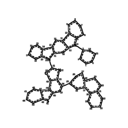 c1ccc(-n2c3ccccc3c3cc4c5ccccc5n(-c5nc6c(-c7ccc8ccc9ccccc9c8c7)cc7sc8ccccc8c7c6o5)c4cc32)cc1